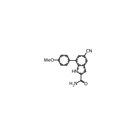 COc1ccc(-c2cc(C#N)cc3cc(C(N)=O)[nH]c23)cc1